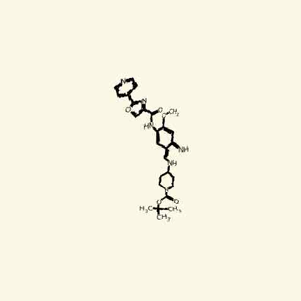 COC1=CC(=N)/C(=C\NC2CCN(C(=O)OC(C)(C)C)CC2)C=C1NC(=O)c1coc(-c2ccncc2)n1